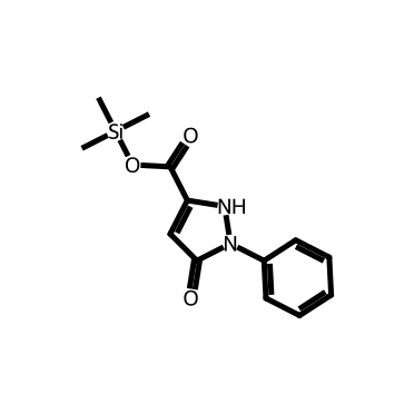 C[Si](C)(C)OC(=O)c1cc(=O)n(-c2ccccc2)[nH]1